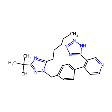 CCCCCc1nc(C(C)(C)C)nn1Cc1ccc(-c2ccncc2-c2nnn[nH]2)cc1